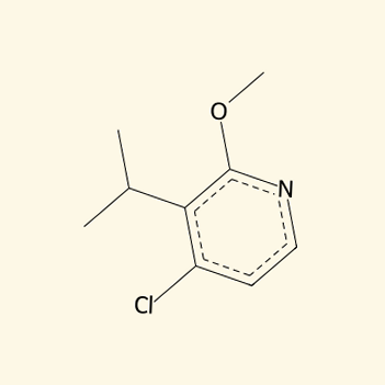 COc1nccc(Cl)c1C(C)C